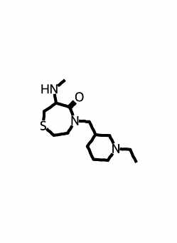 CCN1CCCC(CN2CCSCC(NC)C2=O)C1